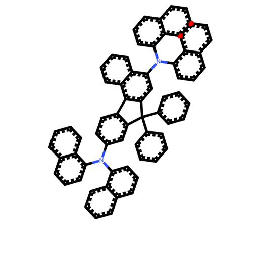 c1ccc(C2(c3ccccc3)c3cc(N(c4cccc5ccccc45)c4cccc5ccccc45)ccc3-c3c2cc(N(c2cccc4ccccc24)c2cccc4ccccc24)c2ccccc32)cc1